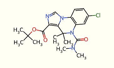 CN(C)C(=O)N1c2cc(Cl)ccc2-n2cnc(C(=O)OC(C)(C)C)c2C1(C)C